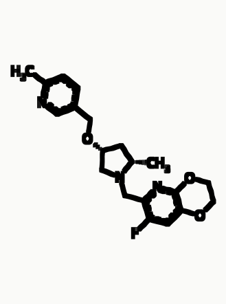 Cc1ccc(CO[C@@H]2C[C@H](C)N(Cc3nc4c(cc3F)OCCO4)C2)cn1